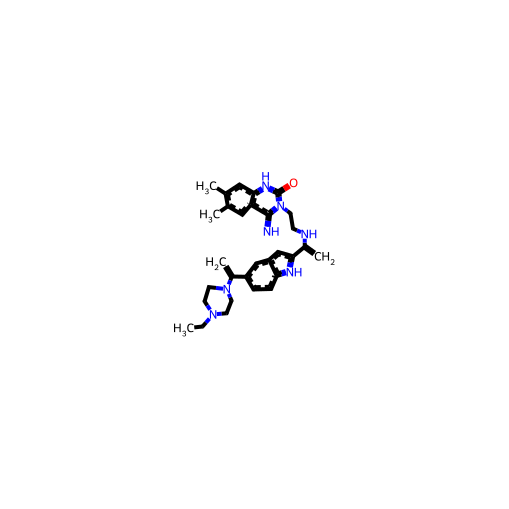 C=C(NCCn1c(=O)[nH]c2cc(C)c(C)cc2c1=N)c1cc2cc(C(=C)N3CCN(CC)CC3)ccc2[nH]1